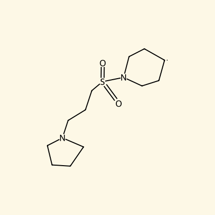 O=S(=O)(CCCN1CCCC1)N1CC[CH]CC1